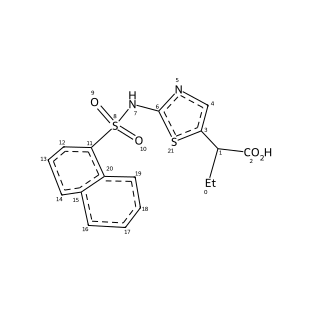 CCC(C(=O)O)c1cnc(NS(=O)(=O)c2cccc3ccccc23)s1